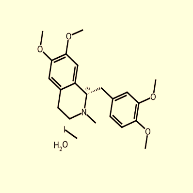 CI.COc1ccc(C[C@H]2c3cc(OC)c(OC)cc3CCN2C)cc1OC.O